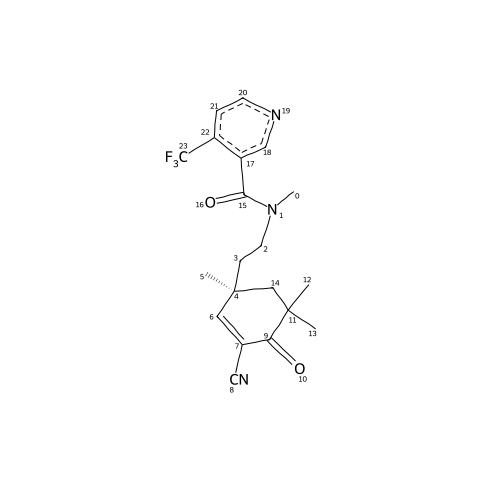 CN(CC[C@]1(C)C=C(C#N)C(=O)C(C)(C)C1)C(=O)c1cnccc1C(F)(F)F